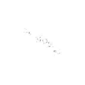 C=CC(=O)NCC1CCN(S(=O)(=O)c2ccc(NC(=O)CCC34CC5CC(CC(C5)C3)C4)cc2)CC1